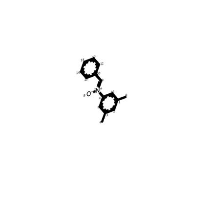 Cc1cc(C)cc([N+]([O-])=Cc2ccccc2)c1